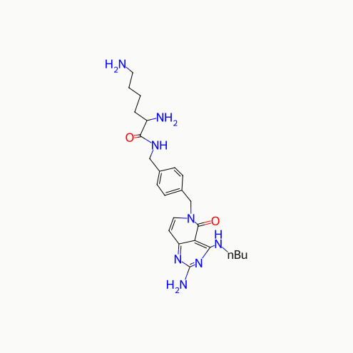 CCCCNc1nc(N)nc2ccn(Cc3ccc(CNC(=O)C(N)CCCCN)cc3)c(=O)c12